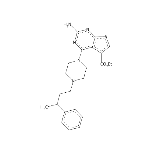 CCOC(=O)c1csc2nc(N)nc(N3CCN(CCC(C)c4ccccc4)CC3)c12